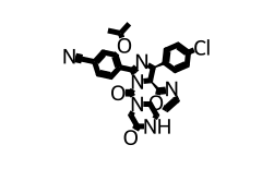 CC(C)Oc1cc(C#N)ccc1C1=N[C@@H](c2ccc(Cl)cc2)[C@@H](c2ncco2)N1C(=O)N1CCNC(=O)C1